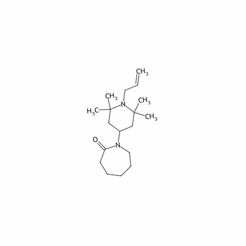 C=CCN1C(C)(C)CC(N2CCCCCC2=O)CC1(C)C